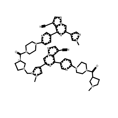 CN1CCC(C(=O)N2CCN(c3ccc(-c4nc(-c5cn(C)[n+](CN6CC[C@@H](C(=O)N7CCN(c8ccc(-c9nc(-c%10cnn(C)c%10)cn%10ncc(C#N)c9%10)cn8)CC7)C6)c5)cn5ncc(C#N)c45)cn3)CC2)C1